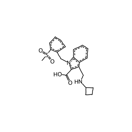 CS(=O)(=O)c1ccccc1Cn1c(C(=O)O)c(CNC2CCC2)c2ccccc21